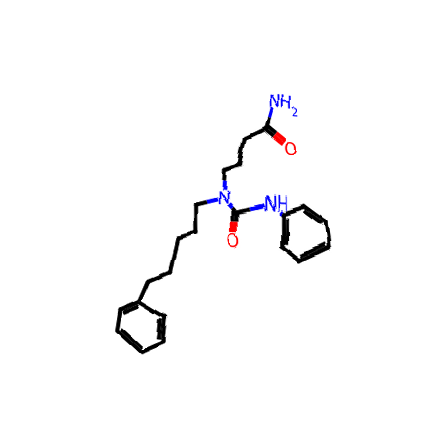 NC(=O)CCCN(CCCCCc1ccccc1)C(=O)Nc1ccccc1